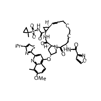 COc1ccc2c(O[C@@H]3C[C@H]4C(=O)N[C@]5(C(=O)NS(=O)(=O)C6(C)CC6)C[C@H]5/C=C\CCCCC[C@H](NC(=O)c5ccon5)C(=O)N4C3)cc(-c3nc(C(C)C)cs3)nc2c1C